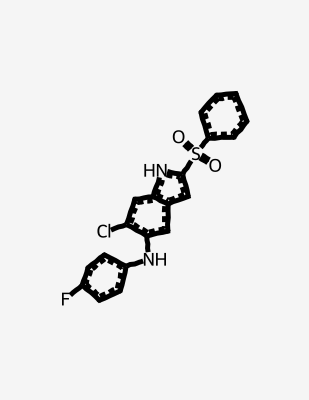 O=S(=O)(c1ccccc1)c1cc2cc(Nc3ccc(F)cc3)c(Cl)cc2[nH]1